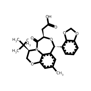 Cc1cc2c3c(c1)[C@@H](c1cccc4c1OCO4)O[C@H](CC(=O)O)C(=O)N3[C@H](C(C)(C)C)CO2